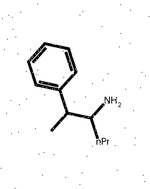 C[CH]CC(N)C(C)c1ccccc1